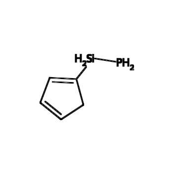 P[SiH2]C1=CC=CC1